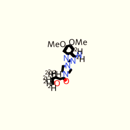 [2H]N([2H])c1nc(N2CCN(C(=O)C3OC([2H])([2H])C([2H])([2H])C3([2H])[2H])CC2)nc2cc(OC)c(OC)cc12